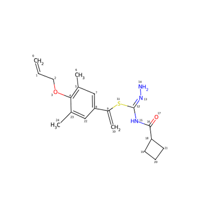 C=CCOc1c(C)cc(C(=C)S/C(=N\N)NC(=O)C2CCC2)cc1C